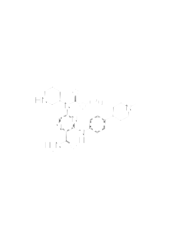 CN1CCC(c2ccc(Nc3nc(N(C(=O)OC(C)(C)C)C4CCCNC4)cnc3C(N)=O)cc2)CC1